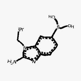 CC(C)Cn1c(N)nc2ccc(B(O)O)cc21